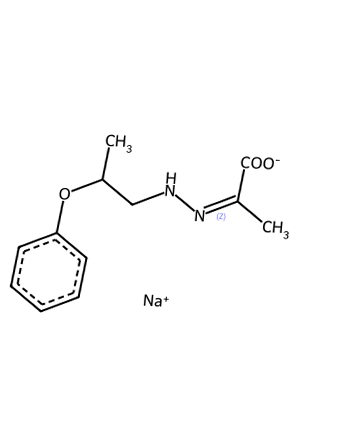 C/C(=N/NCC(C)Oc1ccccc1)C(=O)[O-].[Na+]